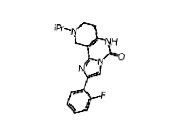 CC(C)N1CCc2[nH]c(=O)n3cc(-c4ccccc4F)nc3c2C1